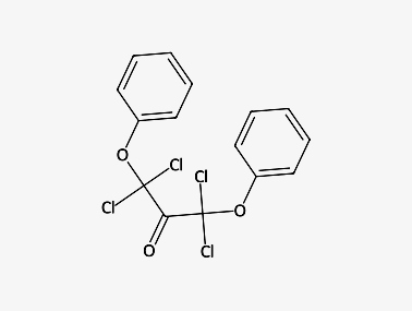 O=C(C(Cl)(Cl)Oc1ccccc1)C(Cl)(Cl)Oc1ccccc1